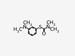 CN(C)C(=O)Sc1cccc(N(C)C)c1